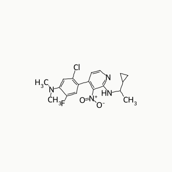 CC(Nc1nccc(-c2cc(F)c(N(C)C)cc2Cl)c1[N+](=O)[O-])C1CC1